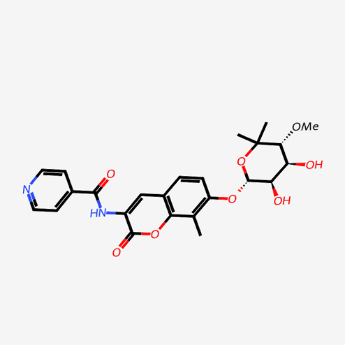 CO[C@@H]1[C@@H](O)[C@@H](O)[C@H](Oc2ccc3cc(NC(=O)c4ccncc4)c(=O)oc3c2C)OC1(C)C